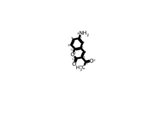 CC(=O)c1cc2cc(N)ccc2oc1=O